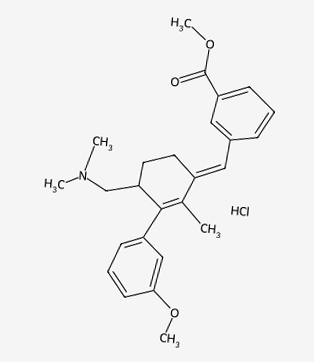 COC(=O)c1cccc(C=C2CCC(CN(C)C)C(c3cccc(OC)c3)=C2C)c1.Cl